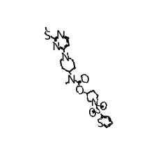 CSc1nccc(N2CCC(N(C)C(=O)O[C@H]3CCN(S(=O)(=O)c4cccs4)C3)CC2)n1